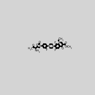 CCn1cc(C(=O)OC)c(=O)c2cc(F)c(N3CCN(c4ccc(N5CC([C@H](N)C(C)=O)OC5=O)cc4F)CC3)c(F)c21